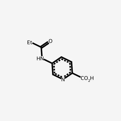 CCC(=O)Nc1ccc(C(=O)O)nc1